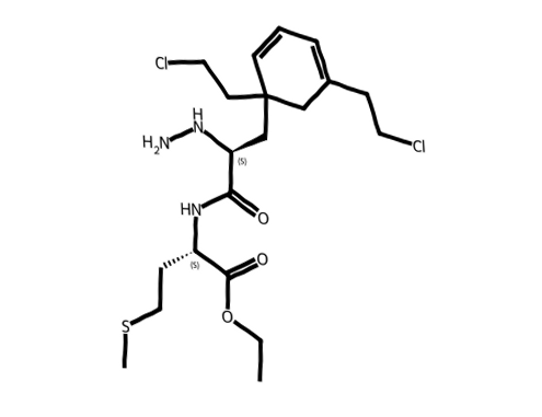 CCOC(=O)[C@H](CCSC)NC(=O)[C@H](CC1(CCCl)C=CC=C(CCCl)C1)NN